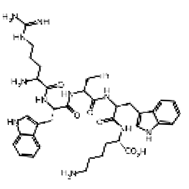 CC(C)C[C@H](NC(=O)[C@H](Cc1c[nH]c2ccccc12)NC(=O)[C@@H](N)CCCNC(=N)N)C(=O)N[C@@H](Cc1c[nH]c2ccccc12)C(=O)N[C@@H](CCCCN)C(=O)O